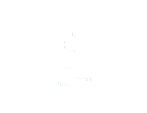 CN1CCC(Oc2ccncc2N)C1